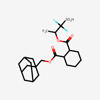 O=C(OCC12CC3CC(CC(C3)C1)C2)C1CCCCC1C(=O)OC(C(F)(F)F)C(F)(F)S(=O)(=O)O